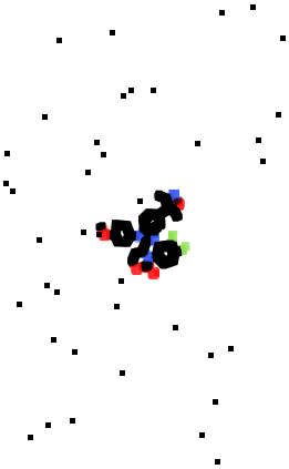 COC1CCC(n2c(C3CCOC(=O)N3c3ccc(F)c(F)c3)nc3cc(-c4c(C)noc4C)ccc32)CC1